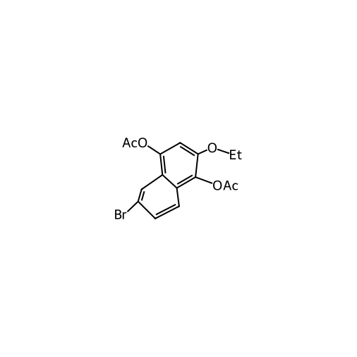 CCOc1cc(OC(C)=O)c2cc(Br)ccc2c1OC(C)=O